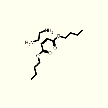 CCCCOC(=O)/C=C\C(=O)OCCCC.NCCN